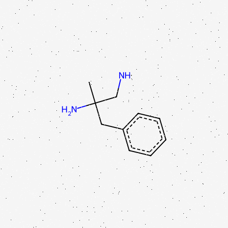 CC(N)(C[NH])Cc1ccccc1